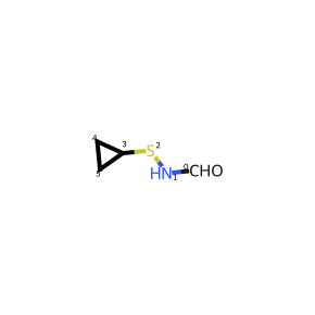 O=CNSC1CC1